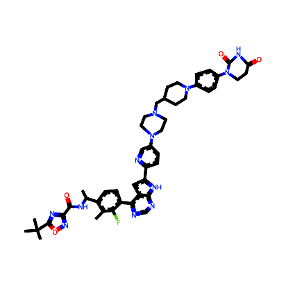 Cc1c(C(C)NC(=O)c2noc(C(C)(C)C)n2)ccc(-c2ncnc3[nH]c(-c4ccc(N5CCN(CC6CCN(c7ccc(N8CCC(=O)NC8=O)cc7)CC6)CC5)cn4)cc23)c1F